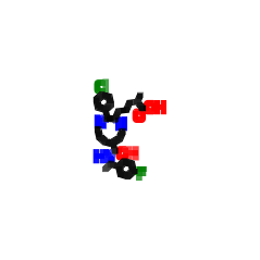 CC(CCCc1nccc(C(O)NC(C)c2ccc(F)cc2)cccnc1-c1ccc(Cl)cc1)C(=O)O